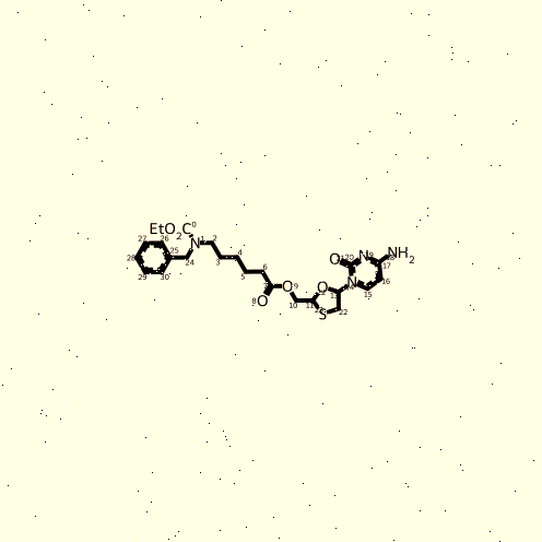 CCOC(=O)N(CCCCCC(=O)OCC1OC(n2ccc(N)nc2=O)CS1)Cc1ccccc1